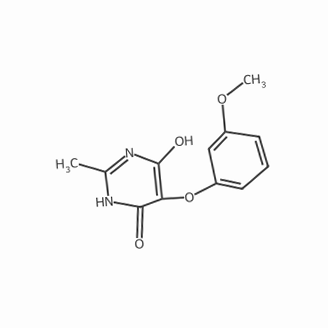 COc1cccc(Oc2c(O)nc(C)[nH]c2=O)c1